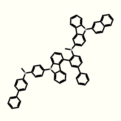 CN(c1ccc(-c2ccccc2)cc1)c1ccc(-n2c3ccccc3c3c(-c4cc(-c5ccccc5)ccc4N(C)c4ccc5c(c4)c4ccccc4n5-c4ccc5ccccc5c4)cccc32)cc1